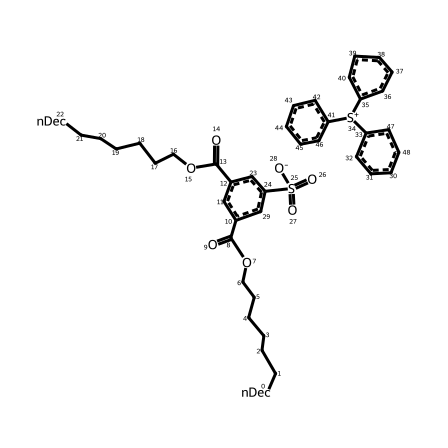 CCCCCCCCCCCCCCCCOC(=O)c1cc(C(=O)OCCCCCCCCCCCCCCCC)cc(S(=O)(=O)[O-])c1.c1ccc([S+](c2ccccc2)c2ccccc2)cc1